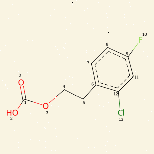 O=C(O)OCCc1ccc(F)cc1Cl